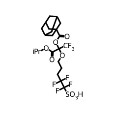 CC(C)OC(=O)C(OCCCC(F)(F)C(F)(F)S(=O)(=O)O)(OC(=O)C12CC3CC(CC(C3)C1)C2)C(F)(F)F